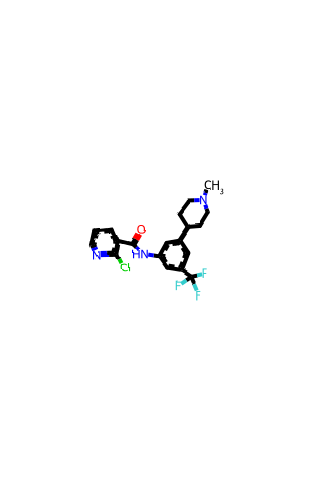 CN1CCC(c2cc(NC(=O)c3cccnc3Cl)cc(C(F)(F)F)c2)CC1